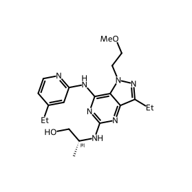 CCc1ccnc(Nc2nc(N[C@H](C)CO)nc3c(CC)nn(CCOC)c23)c1